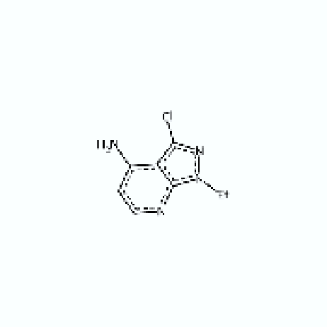 CCn1nc(Cl)c2c(N)ccnc21